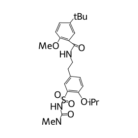 CNC(=O)NS(=O)(=O)c1cc(CCNC(=O)c2cc(C(C)(C)C)ccc2OC)ccc1OC(C)C